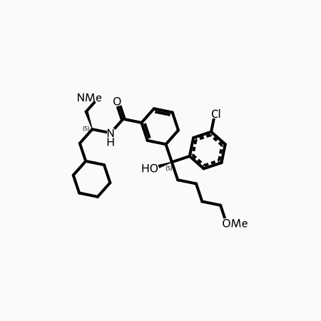 CNC[C@H](CC1CCCCC1)NC(=O)C1=CC([C@@](O)(CCCCOC)c2cccc(Cl)c2)CC=C1